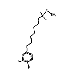 CC(C)(CCCCCCCc1ccc(F)c(F)c1)O[SiH3]